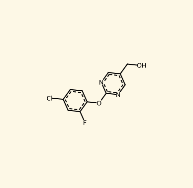 OCc1cnc(Oc2ccc(Cl)cc2F)nc1